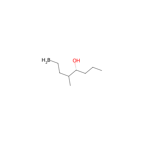 BCCC(C)[C@H](O)CCC